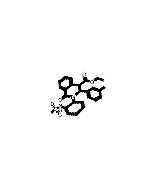 CCOC(=O)C1c2ccccc2C(=O)N(C2CCCCC2NS(C)(=O)=O)C1c1cccc(C)c1